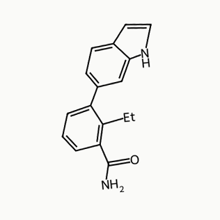 CCc1c(C(N)=O)cccc1-c1ccc2cc[nH]c2c1